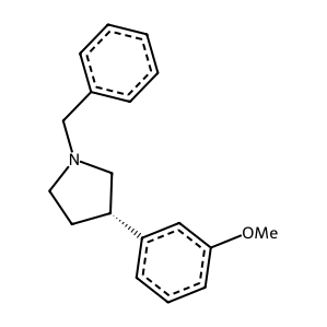 COc1cccc([C@@H]2CCN(Cc3ccccc3)C2)c1